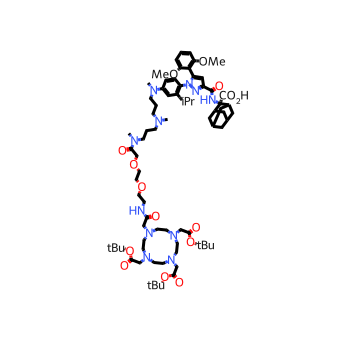 COc1cccc(OC)c1-c1cc(C(=O)NC2(C(=O)O)C3CC4CC(C3)CC2C4)nn1-c1ccc(N(C)CCCN(C)CCCN(C)C(=O)COCCOCCNC(=O)CN2CCN(CC(=O)OC(C)(C)C)CCN(CC(=O)OC(C)(C)C)CCN(CC(=O)OC(C)(C)C)CC2)cc1C(C)C